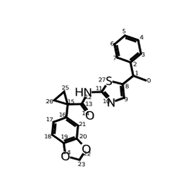 CC(c1ccccc1)c1cnc(NC(=O)C2(c3ccc4c(c3)OCO4)CC2)s1